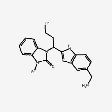 CC(C)CCC(c1nc2cc(CN)ccc2[nH]1)n1c(=O)n(C(C)C)c2ccccc21